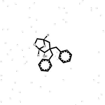 O[C@@H]1[C@@H]2OC[C@H](CC1(Cc1ccccc1)Cc1ccccc1)O2